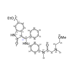 CCOC(=O)c1ccc2c(c1)NC(=O)/C2=C(\Nc1ccc(N(C)C(=O)CN(C)CCOC)cc1)c1ccccc1